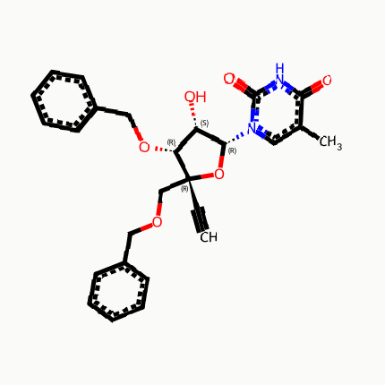 C#C[C@]1(COCc2ccccc2)O[C@@H](n2cc(C)c(=O)[nH]c2=O)[C@@H](O)[C@H]1OCc1ccccc1